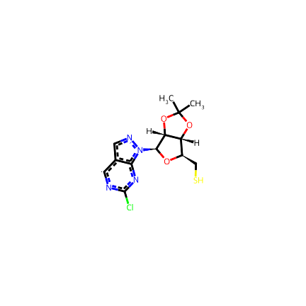 CC1(C)O[C@@H]2[C@H](O1)[C@@H](CS)O[C@H]2n1ncc2[c]nc(Cl)nc21